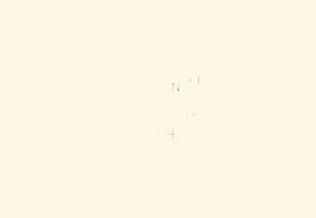 CC1C(=O)N(C)CCC2CC=CC=C21